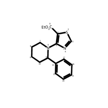 CCOC(=O)c1scnc1N1CCCCC1c1ccccc1